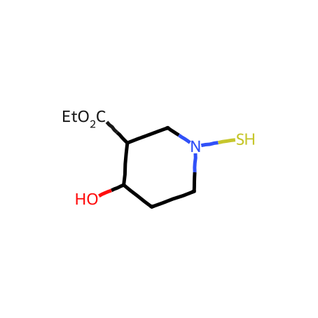 CCOC(=O)C1CN(S)CCC1O